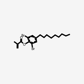 C=C(C)C(=O)Oc1c(Br)cc(CCCCCCCCC)cc1Br